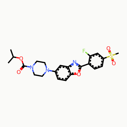 CC(C)OC(=O)N1CCN(c2ccc3oc(-c4ccc(S(C)(=O)=O)cc4F)nc3c2)CC1